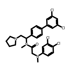 CN(CC(=O)N(C)C(CN1CCCC1)c1ccc(-c2cc(Cl)cc(Cl)c2)cc1)c1ccc(Cl)c(Cl)c1